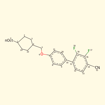 CCCCCCCCC1CCC(COc2ccc(-c3ccc(C#N)c(F)c3F)cc2)CC1